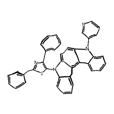 c1ccc(-c2nc(-c3ccccc3)c(-n3c4ccccc4c4c5c6ccccc6n(-c6cccnc6)c5ccc43)s2)cc1